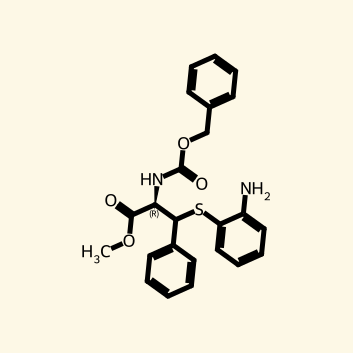 COC(=O)[C@@H](NC(=O)OCc1ccccc1)C(Sc1ccccc1N)c1ccccc1